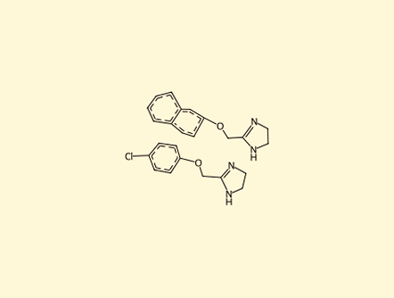 Clc1ccc(OCC2=NCCN2)cc1.c1ccc2cc(OCC3=NCCN3)ccc2c1